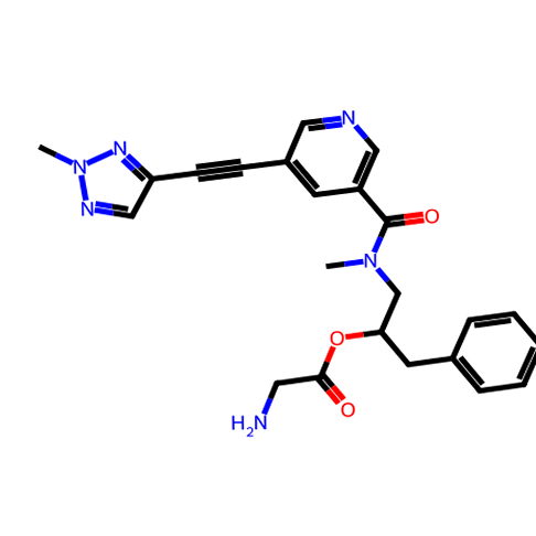 CN(CC(Cc1ccccc1)OC(=O)CN)C(=O)c1cncc(C#Cc2cnn(C)n2)c1